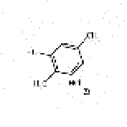 Cc1ccc(C)c(O)c1.Cl.[Zr]